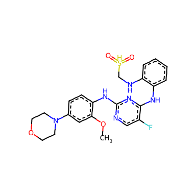 COc1cc(N2CCOCC2)ccc1Nc1ncc(F)c(Nc2ccccc2NC[SH](=O)=O)n1